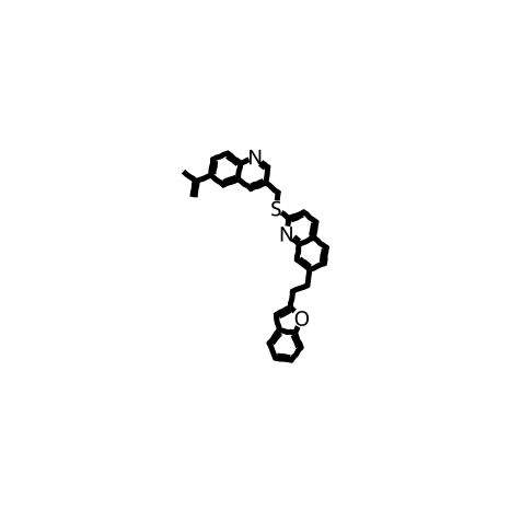 C=C(C)c1ccc2ncc(CSc3ccc4ccc(CCc5cc6ccccc6o5)cc4n3)cc2c1